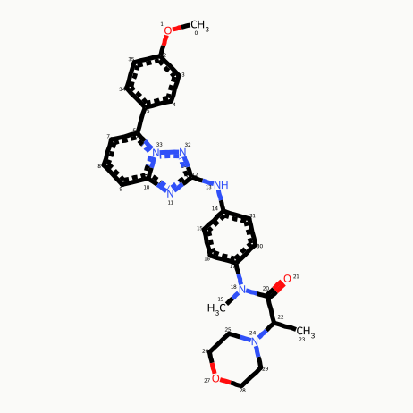 COc1ccc(-c2cccc3nc(Nc4ccc(N(C)C(=O)C(C)N5CCOCC5)cc4)nn23)cc1